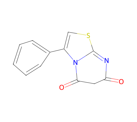 O=C1CC(=O)N2C(c3ccccc3)=CSC2=N1